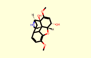 COC1=C[C@H](O)[C@@H]2OC3=C(OC)C=CC4C[C@H]5NCC[C@@]2(C34)[C@@]15O